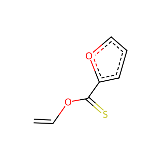 C=COC(=S)c1ccco1